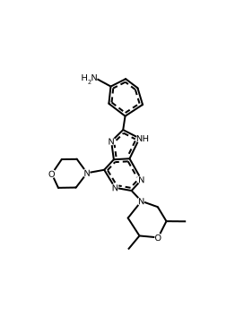 CC1CN(c2nc(N3CCOCC3)c3nc(-c4cccc(N)c4)[nH]c3n2)CC(C)O1